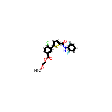 COCCOC(=O)c1ccc(Cl)c(-c2ccc(C(=O)Nc3c(F)cccc3F)s2)c1